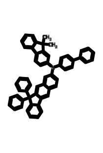 CC1(C)c2ccccc2-c2ccc(N(c3ccc(-c4ccccc4)cc3)c3ccc4cc5c(cc4c3)C(c3ccccc3)(c3ccccc3)c3ccccc3-5)cc21